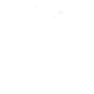 C=CC(=O)O[Si](O)(O)CCCCCCCCCCCCO